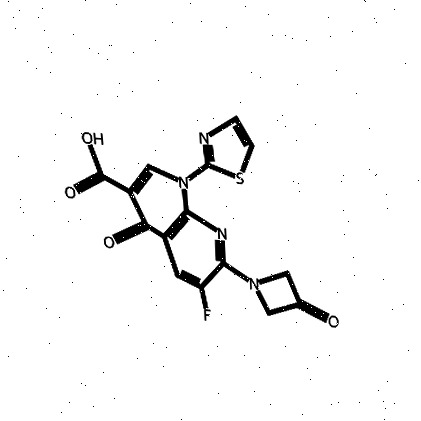 O=C1CN(c2nc3c(cc2F)c(=O)c(C(=O)O)cn3-c2nccs2)C1